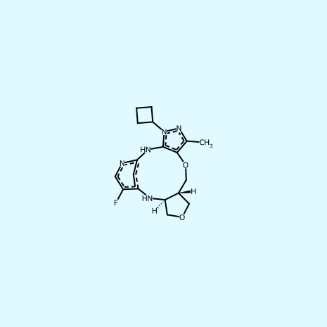 Cc1nn(C2CCC2)c2c1OC[C@@H]1COC[C@H]1Nc1cc(ncc1F)N2